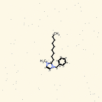 CCCCCCCCCC1N(C)C=CN1Cc1ccccc1